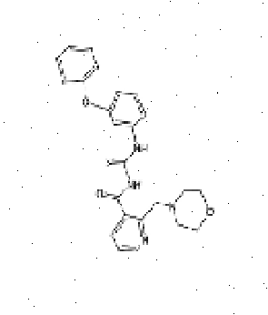 O=C(NC(=S)Nc1cccc(Oc2ccccc2)c1)c1cccnc1CN1CCOCC1